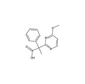 COc1ccnc(C(C)(C(=O)O)c2ccccc2)n1